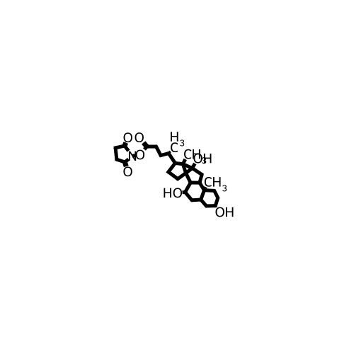 C[C@H](CCC(=O)ON1C(=O)CCC1=O)C1CCC23C4C(O)CC5C[C@H](O)CCC5(C)C4CC2(O)C13C